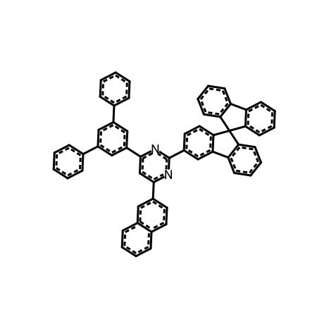 c1ccc(-c2cc(-c3ccccc3)cc(-c3cc(-c4ccc5ccccc5c4)nc(-c4ccc5c(c4)-c4ccccc4C54c5ccccc5-c5ccccc54)n3)c2)cc1